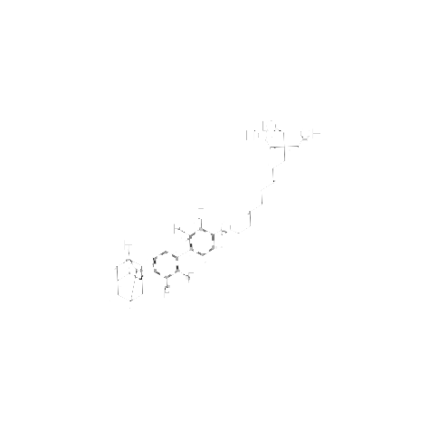 C[C@@H](CCCCCCC(CO)(CO)CO)COc1ccc(-c2ccc([C@]34CC5CC(C[C@H](C5)C3)C4)c(F)c2F)c(F)c1F